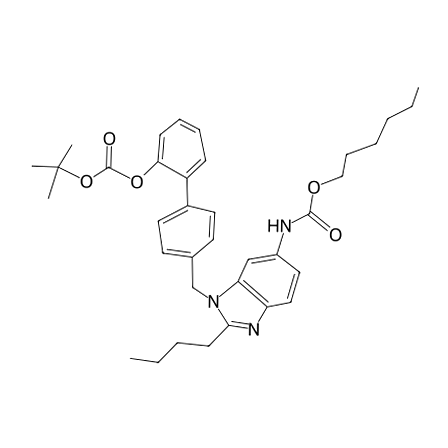 CCCCCCOC(=O)Nc1ccc2nc(CCCC)n(Cc3ccc(-c4ccccc4OC(=O)OC(C)(C)C)cc3)c2c1